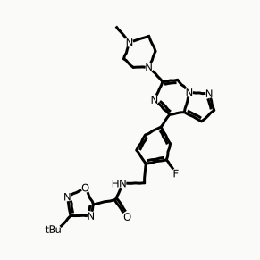 CN1CCN(c2cn3nccc3c(-c3ccc(CNC(=O)c4nc(C(C)(C)C)no4)c(F)c3)n2)CC1